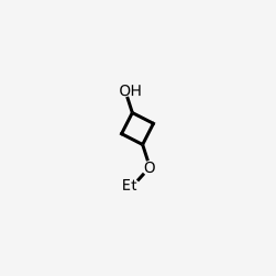 CCOC1CC(O)C1